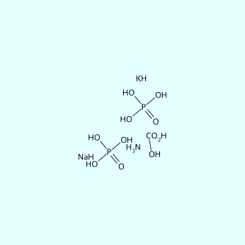 N.O=C(O)O.O=P(O)(O)O.O=P(O)(O)O.[KH].[NaH]